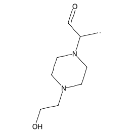 [CH2]C(C=O)N1CCN(CCO)CC1